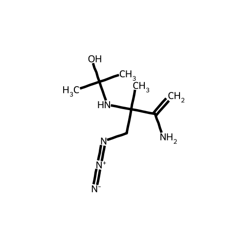 C=C(N)C(C)(CN=[N+]=[N-])NC(C)(C)O